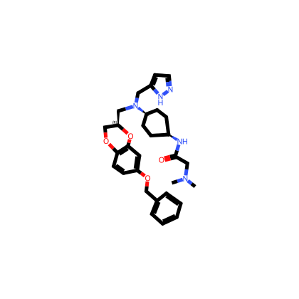 CN(C)CC(=O)N[C@H]1CC[C@@H](N(Cc2ccn[nH]2)C[C@@H]2COc3ccc(OCc4ccccc4)cc3O2)CC1